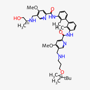 COc1cc(C(=O)Nc2cccc(-c3cccc(NC(=O)c4cc(OC)c(CN[C@@H](C)CO)cn4)c3C)c2C)ncc1CNCCCO[Si](C)(C)C(C)(C)C